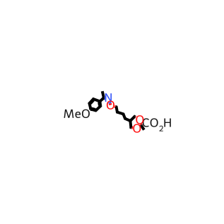 COc1ccc(/C(C)=N\OCCCCC2COC(C)(C(=O)O)OC2)cc1